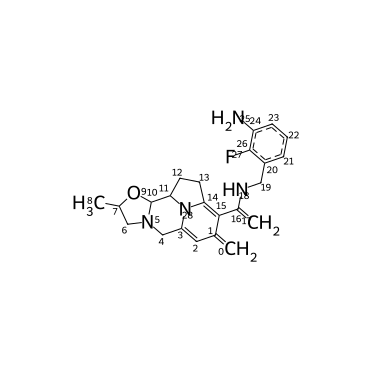 C=C1C=C2CN3CC(C)OC3C3CCC(=C1C(=C)NCc1cccc(N)c1F)N23